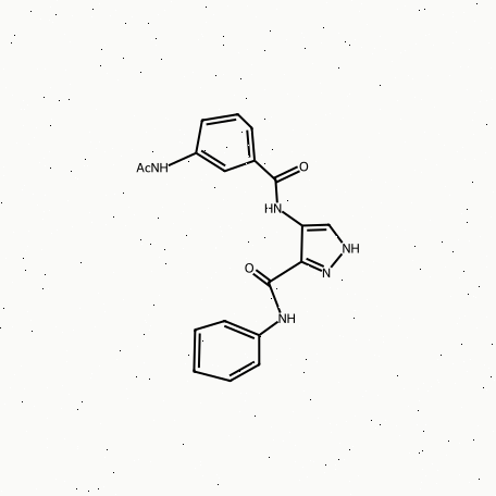 CC(=O)Nc1cccc(C(=O)Nc2c[nH]nc2C(=O)Nc2ccccc2)c1